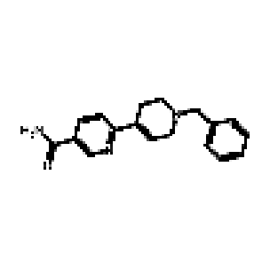 NC(=O)c1ccc(C2=CCN(Cc3ccccc3)CC2)nc1